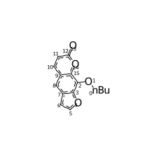 CCCCOc1c2occc2cc2ccc(=O)oc12